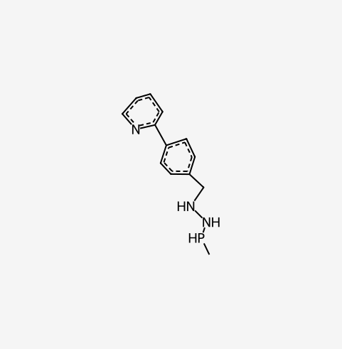 CPNNCc1ccc(-c2ccccn2)cc1